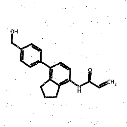 C=CC(=O)Nc1ccc(-c2ccc(CO)cc2)c2c1CCC2